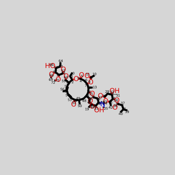 CCC1OC(=O)CC(OC(C)=O)C(C)C(OC2OC(C)C(O)C(N(C)C)C2OC2C[C@@](C)(O)C(OC(=O)CC(C)C)C(C)O2)C(CC=O)CC(C)C(=O)C=CC(C)=CC1COC1OC(C)C(O)C(OC)C1OC